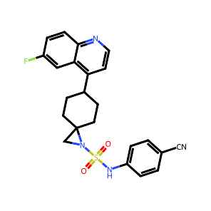 N#Cc1ccc(NS(=O)(=O)N2CC23CCC(c2ccnc4ccc(F)cc24)CC3)cc1